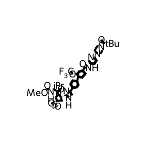 COC(=O)NC(C(=O)N1C[C@@H](S(C)(=O)=O)C[C@H]1c1nc(-c2ccc(-c3ccc(C(=O)Nc4ccc(N5CCN(C(=O)C(C)(C)C)C[C@H]5C)nc4)cc3OC(F)(F)F)cc2)c[nH]1)C(C)C